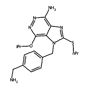 CCCSc1nc2c(N)nnc(OC(C)C)c2n1Cc1ccc(CN)cc1